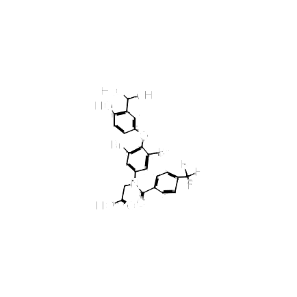 CC(C)c1cc(Oc2c(Br)cc(N(CC(=O)O)C(=O)c3ccc(C(F)(F)F)cc3)cc2Br)ccc1O